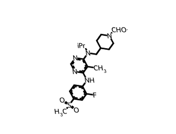 Cc1c(Nc2ccc(S(C)(=O)=O)cc2F)ncnc1N(CC1CCN([C]=O)CC1)C(C)C